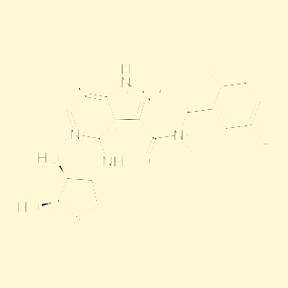 CC1CC=C(F)C=C1CN(C)C(=O)C1=NNC2=NC=NC(N[C@@H]3CC[C@@H](O)[C@H]3O)C21